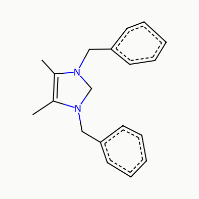 CC1=C(C)N(Cc2ccccc2)CN1Cc1ccccc1